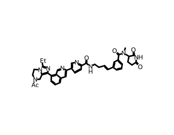 CCc1nc(-c2cccc3cc(-c4ccc(C(=O)NCC/C=C/c5cccc(C(=O)N(C)C6CCC(=O)NC6=O)c5)nc4)ncc23)c2n1CCN(C(C)=O)C2